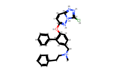 CN(CCc1ccccc1)Cc1ccc(Oc2ccc3nnc(Cl)n3n2)c(-c2ccccc2)c1